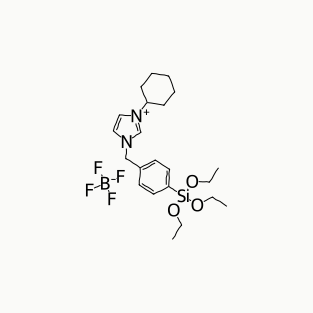 CCO[Si](OCC)(OCC)c1ccc(Cn2cc[n+](C3CCCCC3)c2)cc1.F[B-](F)(F)F